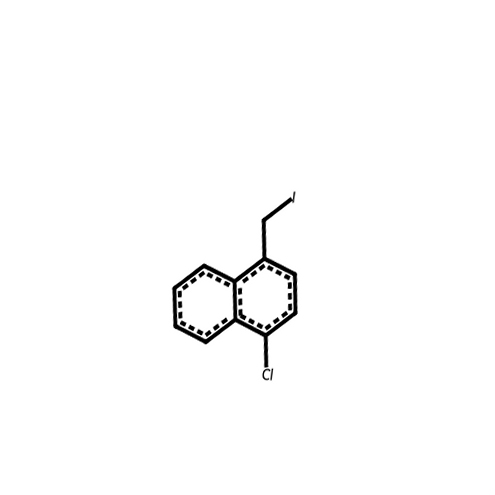 Clc1ccc(CI)c2ccccc12